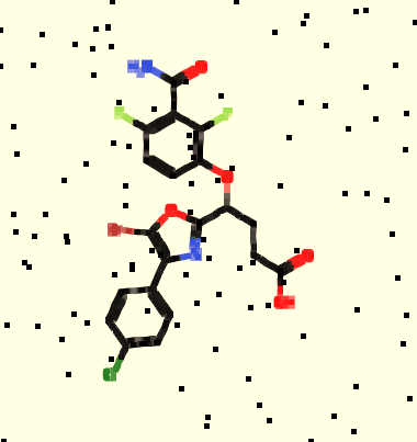 NC(=O)c1c(F)ccc(OC(CCC(=O)O)c2nc(-c3ccc(Cl)cc3)c(Br)o2)c1F